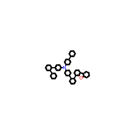 c1ccc(-c2ccc(N(c3ccc(-c4ccccc4-c4ccccc4)cc3)c3ccc(-c4ccccc4-c4cccc5c4oc4ccccc45)cc3)cc2)cc1